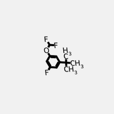 CC(C)(C)c1cc(F)cc(OC(F)F)c1